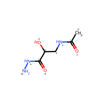 CC(=O)NCC(O)C(=O)NN